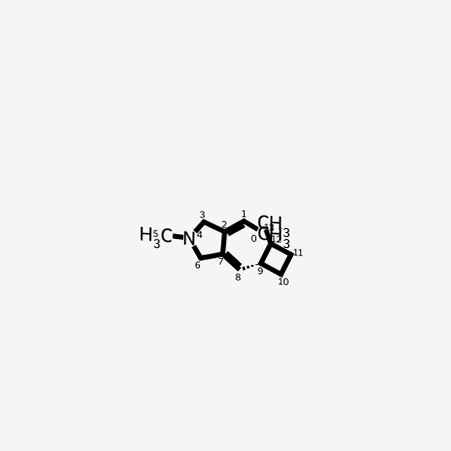 C/C=C1/CN(C)C/C1=C/[C@H]1CCC1C